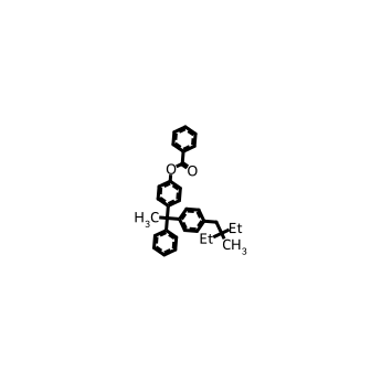 CCC(C)(CC)Cc1ccc(C(C)(c2ccccc2)c2ccc(OC(=O)c3ccccc3)cc2)cc1